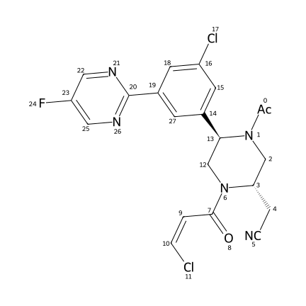 CC(=O)N1C[C@H](CC#N)N(C(=O)/C=C\Cl)C[C@H]1c1cc(Cl)cc(-c2ncc(F)cn2)c1